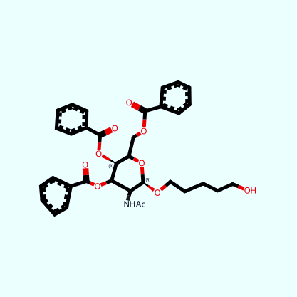 CC(=O)NC1C(OC(=O)c2ccccc2)[C@@H](OC(=O)c2ccccc2)C(COC(=O)c2ccccc2)O[C@H]1OCCCCCO